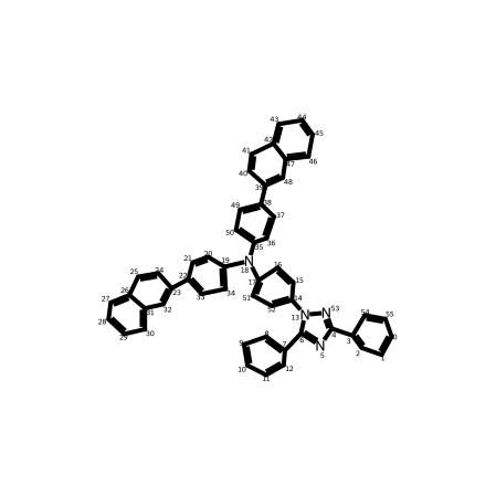 c1ccc(-c2nc(-c3ccccc3)n(-c3ccc(N(c4ccc(-c5ccc6ccccc6c5)cc4)c4ccc(-c5ccc6ccccc6c5)cc4)cc3)n2)cc1